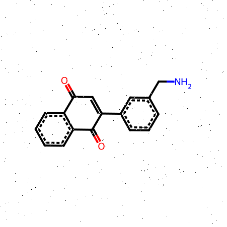 NCc1cccc(C2=CC(=O)c3ccccc3C2=O)c1